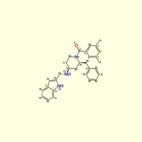 Cc1cc(C)cc(C(=O)N2CC[C@H](NCc3cc4ccccc4[nH]3)C[C@@H]2Cc2ccccc2)c1